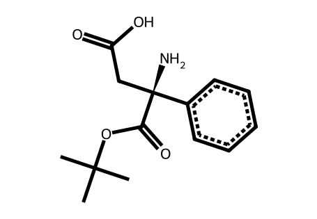 CC(C)(C)OC(=O)[C@](N)(CC(=O)O)c1ccccc1